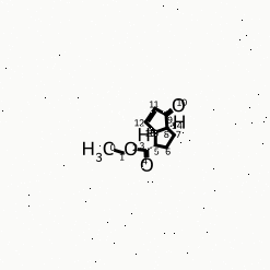 CCOC(=O)[C@H]1CC[C@@H]2C(=O)C=C[C@@H]21